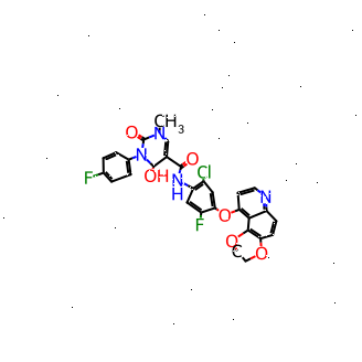 CN1C=C(C(=O)Nc2cc(F)c(Oc3ccnc4ccc5c(c34)OCCO5)cc2Cl)C(O)N(c2ccc(F)cc2)C1=O